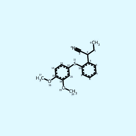 CCC(C#N)c1ccccc1Sc1ccc(OC)c(OC)c1